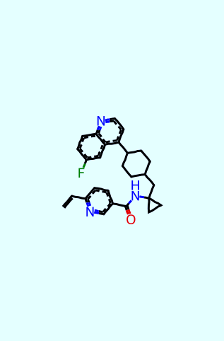 C=Cc1ccc(C(=O)NC2(CC3CCC(c4ccnc5ccc(F)cc45)CC3)CC2)cn1